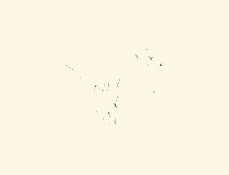 CCCCNc1ccnn1-c1cccc([N+](=O)[O-])c1